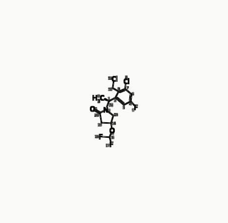 C[C@@H](c1cc(F)cc(Cl)c1CCl)N1CC(OC(F)F)CC1=O